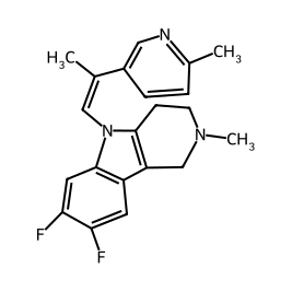 C/C(=C/n1c2c(c3cc(F)c(F)cc31)CN(C)CC2)c1ccc(C)nc1